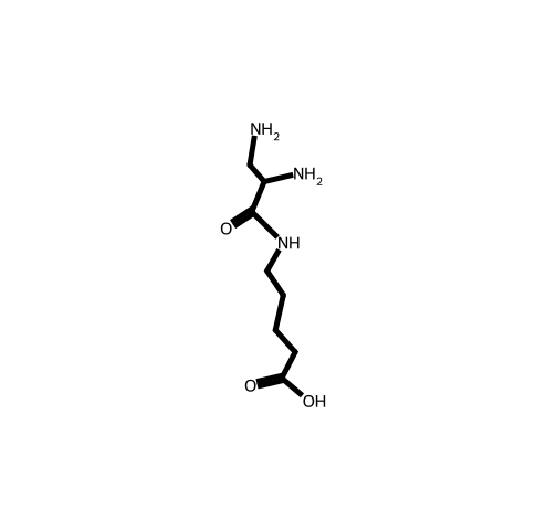 NCC(N)C(=O)NCCCCC(=O)O